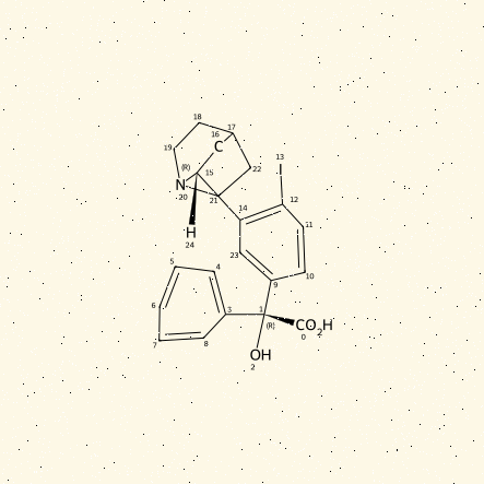 O=C(O)[C@@](O)(c1ccccc1)c1ccc(I)c([C@H]2CC3CCN2CC3)c1